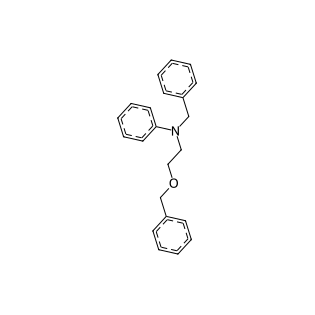 c1ccc(COCCN(Cc2ccccc2)c2ccccc2)cc1